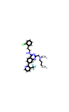 CCCCN(C)Cc1nc(NCCc2ccccc2Cl)c2ccc(-c3ncccc3C(F)(F)F)cc2n1